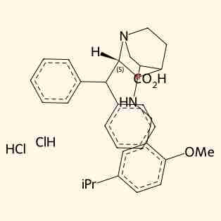 COc1ccc(C(C)C)cc1CNC1C2CCN(CC2C(=O)O)[C@H]1C(c1ccccc1)c1ccccc1.Cl.Cl